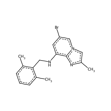 Cc1cn2cc(Br)cc(NCc3c(C)cccc3C)c2n1